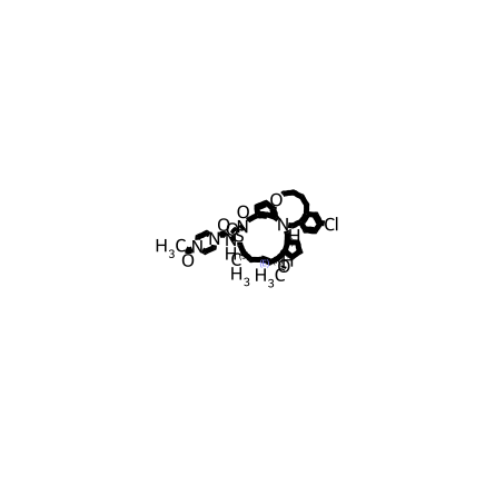 CO[C@H]1/C=C/C[C@H](C)CS(=O)(NC(=O)N2CCN(C(C)=O)CC2)=NC(=O)c2ccc3c(c2)N(Cc2ccc(Cl)cc2CCCCO3)C[C@@H]2CCC[C@H]21